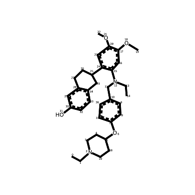 CCN1CCC(Oc2ccc(CN(CC)c3cc(OC)c(OC)cc3C3CCc4cc(O)ccc4C3)cc2)CC1